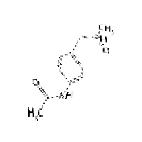 CC(=O)Nc1ccc(C[PH](C)=O)cc1